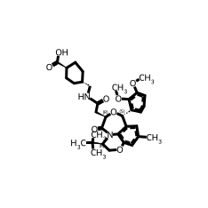 COc1cccc([C@H]2O[C@H](CC(=O)NC[C@H]3CC[C@H](C(=O)O)CC3)C(=O)N3c4c(cc(C)cc42)OC[C@H]3C(C)(C)C)c1OC